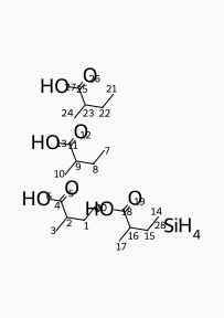 CCC(C)C(=O)O.CCC(C)C(=O)O.CCC(C)C(=O)O.CCC(C)C(=O)O.[SiH4]